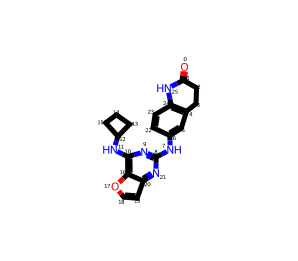 O=C1CCc2cc(Nc3nc(NC4CCC4)c4occc4n3)ccc2N1